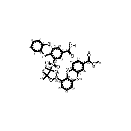 Bc1ccccc1Sc1ccc(C(=O)O)cc1S(=O)(=O)C1(C)OB(c2cccc3c2Sc2ccc(C(=O)OC)cc2S3)OC1(C)C